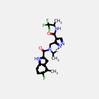 Cc1c(F)ccc2[nH]c(C(=O)N3Cc4c(C(=O)NC(C)C(F)(F)F)cnn4CC3C)cc12